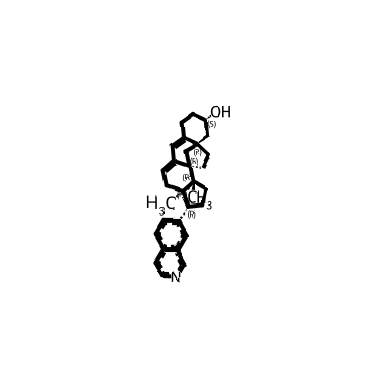 C[C@@]12CC[C@H](c3ccc4ccncc4c3)[C@@]1(C)CC=C1C=C3CC[C@H](O)C[C@]34CC[C@@]12C4